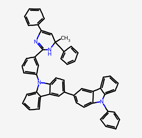 CC1(c2ccccc2)C=C(c2ccccc2)N=C(c2cccc(-n3c4ccccc4c4cc(-c5ccc6c(c5)c5ccccc5n6-c5ccccc5)ccc43)c2)N1